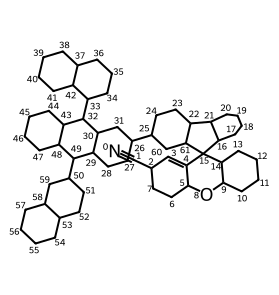 N#CC1C=C2C(CC1)OC1CCCCC1C21C2CCCCC2C2CCC(C3CCC4C(C3)C(C3CCCC5CCCCC53)C3CCCCC3C4C3CCC4CCCCC4C3)CC21